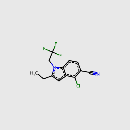 CCc1cc2c(Cl)c(C#N)ccc2n1CC(F)(F)F